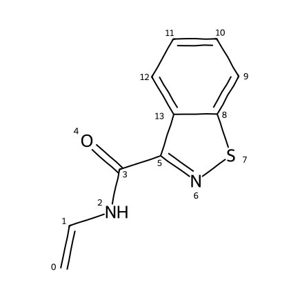 C=CNC(=O)c1nsc2ccccc12